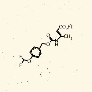 CCOC(=O)C=C(C)NC(=O)OCc1ccc(OC(F)F)cc1